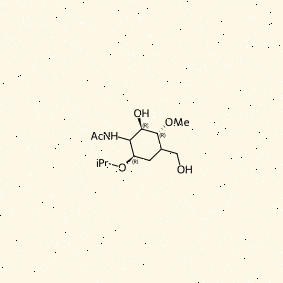 CO[C@@H]1C(CO)C[C@@H](OC(C)C)C(NC(C)=O)[C@H]1O